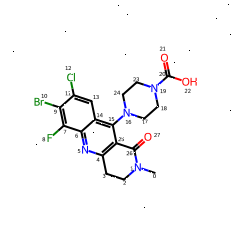 CN1CCc2nc3c(F)c(Br)c(Cl)cc3c(N3CCN(C(=O)O)CC3)c2C1=O